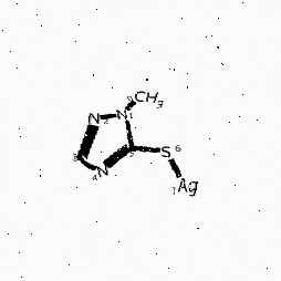 Cn1ncnc1[S][Ag]